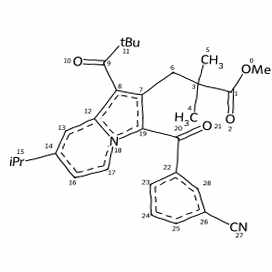 COC(=O)C(C)(C)Cc1c(C(=O)C(C)(C)C)c2cc(C(C)C)ccn2c1C(=O)c1cccc(C#N)c1